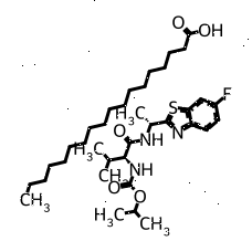 CC(C)OC(=O)N[C@H](C(=O)N[C@H](C)c1nc2ccc(F)cc2s1)C(C)C.CCCCCCCCCCCCCCCCCC(=O)O